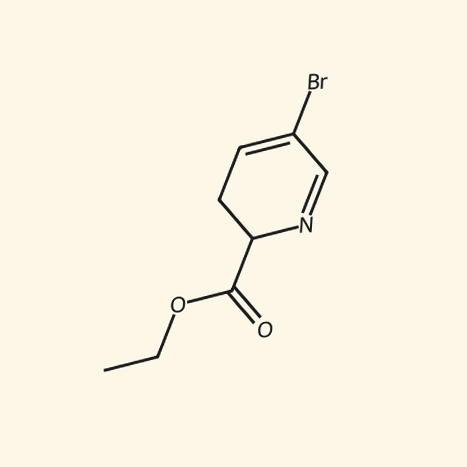 CCOC(=O)C1CC=C(Br)C=N1